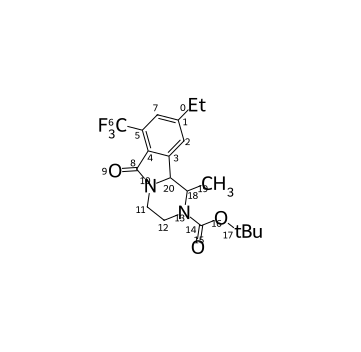 CCc1cc2c(c(C(F)(F)F)c1)C(=O)N1CCN(C(=O)OC(C)(C)C)C(C)C21